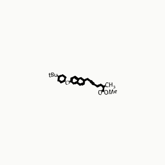 COC(=O)C(C)CCC#CCc1ccc2cc(O[C@H]3CC[C@H](C(C)(C)C)CC3)ccc2c1